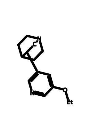 CCOc1cncc(C2CN3CCC2CC3)c1